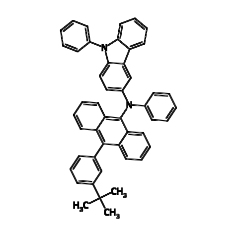 CC(C)(C)c1cccc(-c2c3ccccc3c(N(c3ccccc3)c3ccc4c(c3)c3ccccc3n4-c3ccccc3)c3ccccc23)c1